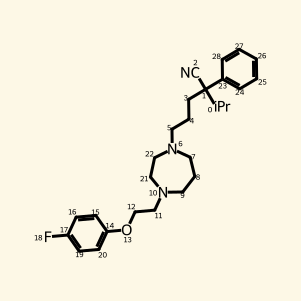 CC(C)C(C#N)(CCCN1CCCN(CCOc2ccc(F)cc2)CC1)c1ccccc1